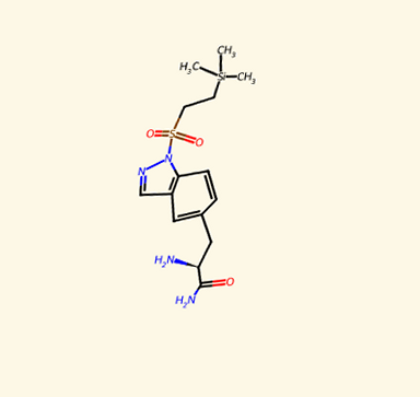 C[Si](C)(C)CCS(=O)(=O)n1ncc2cc(C[C@H](N)C(N)=O)ccc21